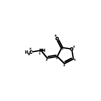 CNC=C1C=COC1=O